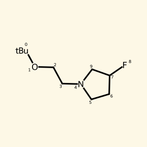 CC(C)(C)OCCN1CCC(F)C1